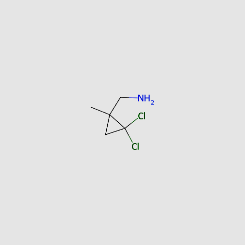 CC1(CN)CC1(Cl)Cl